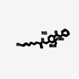 CNCC1(OC)CC(CNC(=O)CCCCC=CC(C)C)CCN1C(=O)Oc1ccccc1.Cl